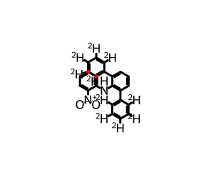 [2H]c1c([2H])c([2H])c(-c2cccc(-c3c([2H])c([2H])c([2H])c([2H])c3[2H])c2Nc2ccccc2[N+](=O)[O-])c([2H])c1[2H]